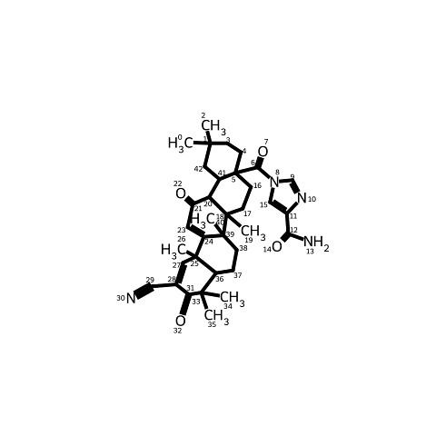 CC1(C)CCC2(C(=O)n3cnc(C(N)=O)c3)CCC3(C)C(C(=O)C=C4C5(C)C=C(C#N)C(=O)C(C)(C)C5CCC43C)C2C1